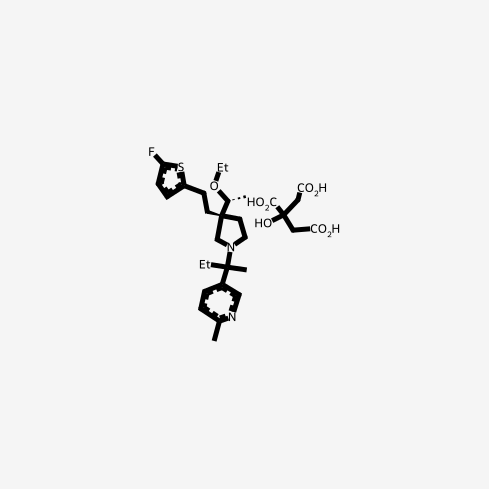 CCO[C@H](C)[C@]1(CCc2ccc(F)s2)CCN(C(C)(CC)c2ccc(C)nc2)C1.O=C(O)CC(O)(CC(=O)O)C(=O)O